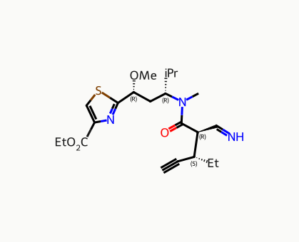 C#C[C@@H](CC)[C@H](C=N)C(=O)N(C)[C@H](C[C@@H](OC)c1nc(C(=O)OCC)cs1)C(C)C